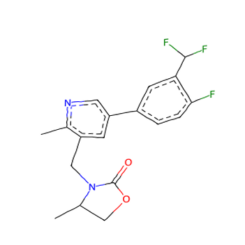 Cc1ncc(-c2ccc(F)c(C(F)F)c2)cc1CN1C(=O)OCC1C